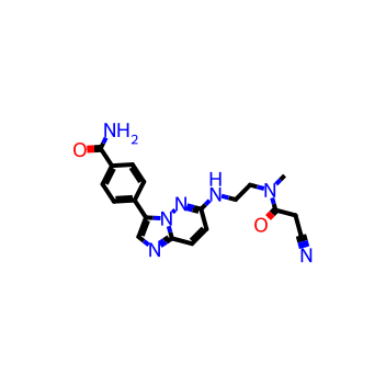 CN(CCNc1ccc2ncc(-c3ccc(C(N)=O)cc3)n2n1)C(=O)CC#N